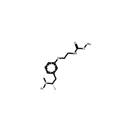 CC(=O)N(C)[C@@H](C)Cc1cccc(OCCNC(=O)OC(C)(C)C)c1